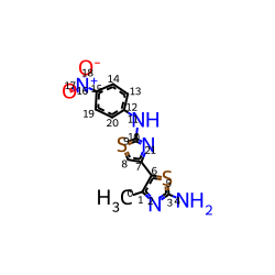 Cc1nc(N)sc1-c1csc(Nc2ccc([N+](=O)[O-])cc2)n1